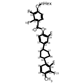 CCCCCCOc1ccc(C(=O)Oc2ccc(C3CCC(c4ccc(C)c(F)c4F)CC3)cc2F)c(F)c1F